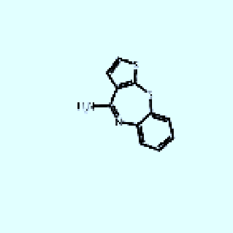 NC1=Nc2ccccc2Sc2sccc21